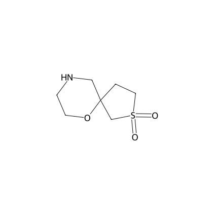 O=S1(=O)CCC2(CNCCO2)C1